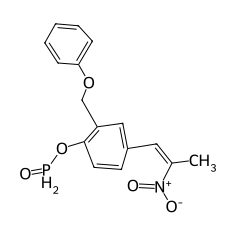 CC(=Cc1ccc(O[PH2]=O)c(COc2ccccc2)c1)[N+](=O)[O-]